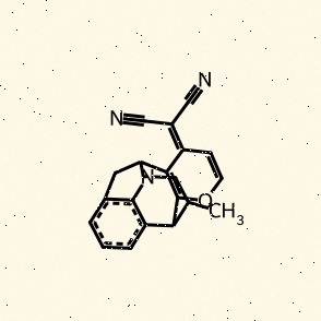 CC1CN2CC3Cc4cccc(c42)C1C1=C3C(=C(C#N)C#N)C=CO1